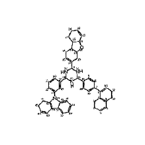 C1=CC2=C(CC1)C(c1ccc(C3NC(C4=CCC5C(C4)OC4C=CCCC45)NC(c4cccc(-n5c6c(c7ccccc75)C=CCC6)c4)N3)cc1)=CCC2